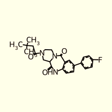 CC(C)(C)CC(=O)N1CCN2C(=O)c3cc(-c4ccc(F)cc4)ccc3NC(=O)C2C1